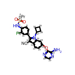 CCCS(=O)(=O)Nc1ccc(-c2c(C#N)c3ccc(Oc4nccnc4N)cc3n2C2CCC2)cc1F